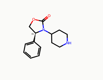 O=C1OC[C@H](c2ccccc2)N1C1CCNCC1